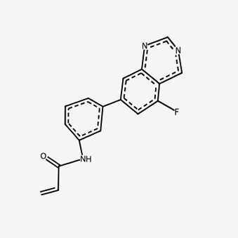 C=CC(=O)Nc1cccc(-c2cc(F)c3cncnc3c2)c1